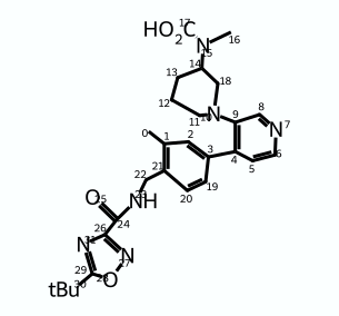 Cc1cc(-c2ccncc2N2CCCC(N(C)C(=O)O)C2)ccc1CNC(=O)c1noc(C(C)(C)C)n1